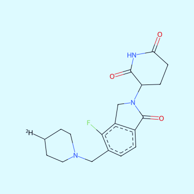 [2H]C1CCN(Cc2ccc3c(c2F)CN(C2CCC(=O)NC2=O)C3=O)CC1